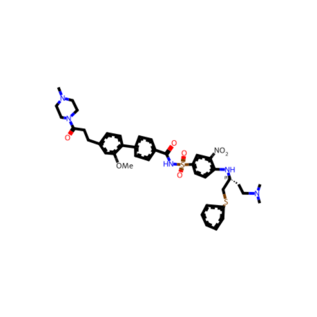 COc1cc(CCC(=O)N2CCN(C)CC2)ccc1-c1ccc(C(=O)NS(=O)(=O)c2ccc(N[C@H](CCN(C)C)CSc3ccccc3)c([N+](=O)[O-])c2)cc1